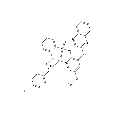 COc1cc(Nc2nc3ccccc3nc2NS(=O)(=O)c2ccccc2NOCc2ccc(C)cc2)cc(OC)c1